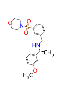 COc1cccc([C@H](C)NCc2cccc(S(=O)(=O)N3CCOCC3)c2)c1